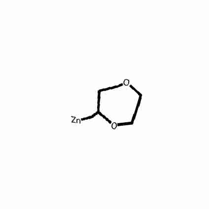 [Zn][CH]1COCCO1